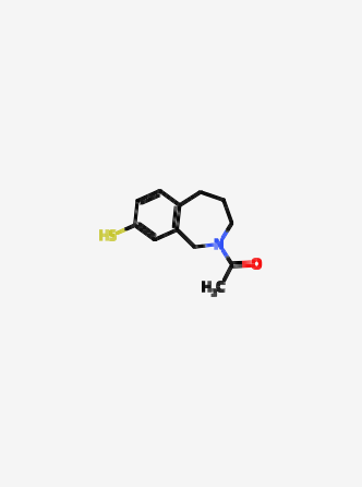 CC(=O)N1CCCc2ccc(S)cc2C1